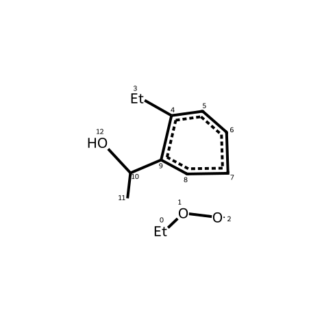 CCO[O].CCc1ccccc1C(C)O